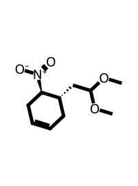 COC(C[C@@H]1CC=CC[C@H]1[N+](=O)[O-])OC